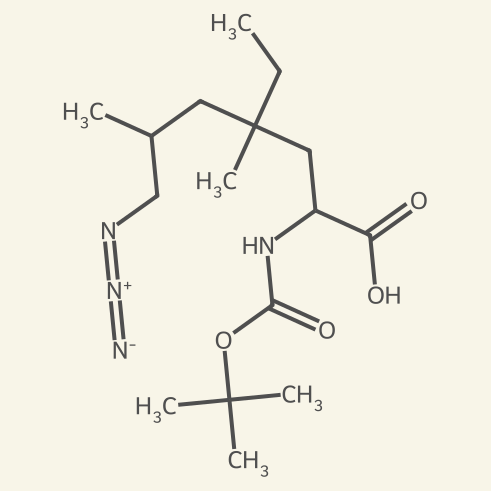 CCC(C)(CC(C)CN=[N+]=[N-])CC(NC(=O)OC(C)(C)C)C(=O)O